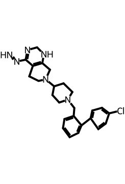 N=NC1=NCNC2=C1CCN(C1CCN(Cc3ccccc3-c3ccc(Cl)cc3)CC1)C2